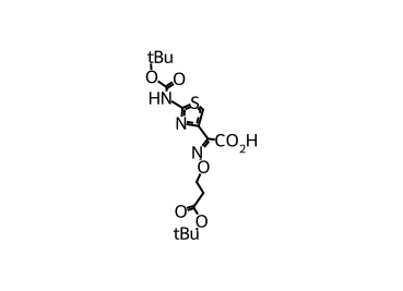 CC(C)(C)OC(=O)CCO/N=C(\C(=O)O)c1csc(NC(=O)OC(C)(C)C)n1